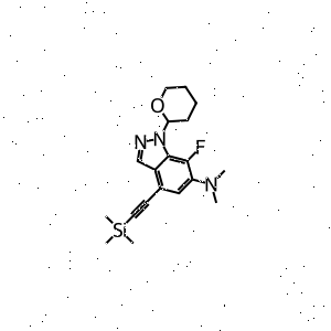 CN(C)c1cc(C#C[Si](C)(C)C)c2cnn(C3CCCCO3)c2c1F